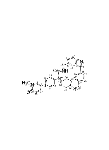 Cn1cc(-c2ccc([N+](C(=O)NCc3ccccc3)=C3CCC(/C=N\c4ccc(C#N)cn4)CC3)cc2)ccc1=O